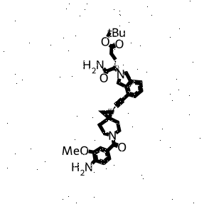 COc1cc(C(=O)N2CCC3(CC2)C[C@@H]3C#Cc2cccc3c2CN([C@@H](CCC(=O)OC(C)(C)C)C(N)=O)C3)ccc1N